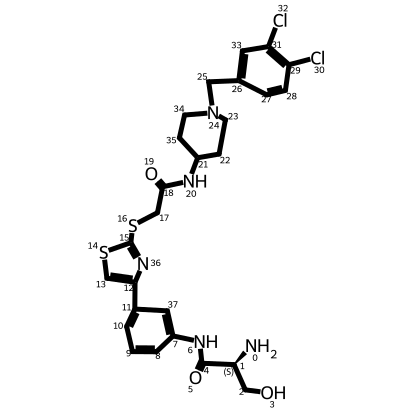 N[C@@H](CO)C(=O)Nc1cccc(-c2csc(SCC(=O)NC3CCN(Cc4ccc(Cl)c(Cl)c4)CC3)n2)c1